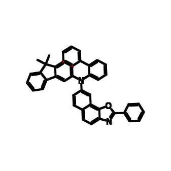 CC1(C)c2ccccc2-c2cc(N(c3ccc4ccc5nc(-c6ccccc6)oc5c4c3)c3ccccc3-c3ccccc3)ccc21